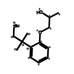 CC(O)COc1ccccc1C(C)(C)CC(C)(C)C